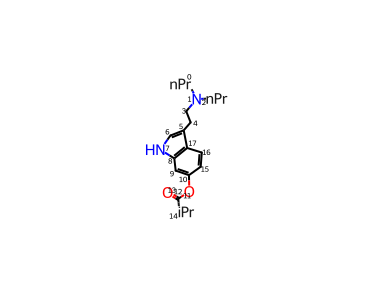 CCCN(CCC)CCc1c[nH]c2cc(OC(=O)C(C)C)ccc12